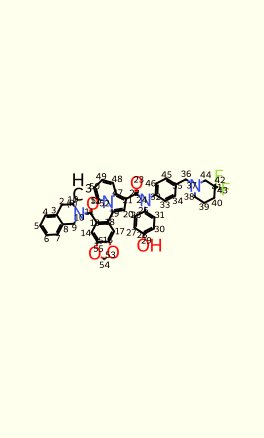 C[C@@H]1Cc2ccccc2CN1C(=O)c1cc2c(cc1-c1cc(C(=O)N(c3ccc(O)cc3)c3ccc(CN4CCCC(F)(F)C4)cc3)c3ccccn13)OCO2